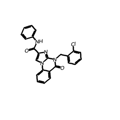 O=C(Nc1ccccc1)c1cn2c3ccccc3c(=O)n(Cc3ccccc3Cl)c2n1